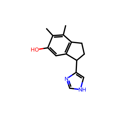 Cc1c(O)cc2c(c1C)CCC2c1c[nH]cn1